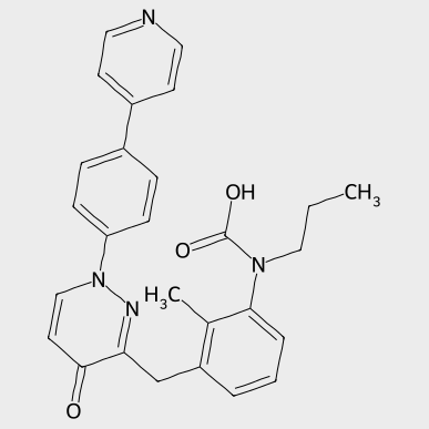 CCCN(C(=O)O)c1cccc(Cc2nn(-c3ccc(-c4ccncc4)cc3)ccc2=O)c1C